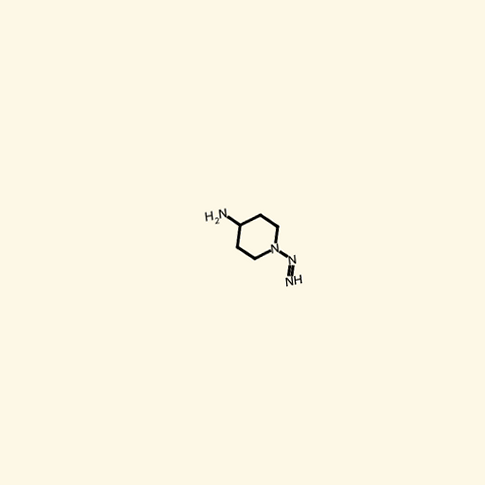 N=NN1CCC(N)CC1